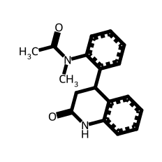 CC(=O)N(C)c1ccccc1C1CC(=O)Nc2ccccc21